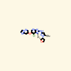 Cn1c(Nc2cc(C(C)(C)C)n([C@H]3CCOC3)n2)nc2ncc(Oc3cnn4ccnc4c3)c(Cl)c21